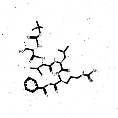 CC(C)C[C@H](NC(=O)[C@@H](NC(=O)[C@@H](NC(=O)OC(C)(C)C)[C@@H](C)O)C(C)C)C(=O)N[C@@H](CCCNC(=N)N)C(=O)OC(=O)c1ccccc1